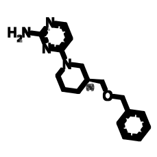 Nc1nccc(N2CCC[C@H](COCc3ccccc3)C2)n1